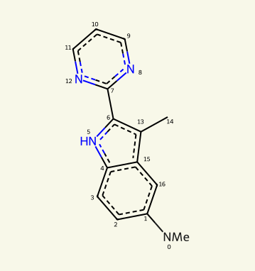 CNc1ccc2[nH]c(-c3ncccn3)c(C)c2c1